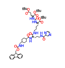 CC(C)(C)OC(=O)CC[C@H](NC(=O)N[C@@H](CCCCNC(=O)[C@H](CCCNC(=O)c1cnccn1)NC(=O)C1CCC(CNC(=O)OCC2c3ccccc3-c3ccccc32)CC1)C(=O)OC(C)(C)C)C(=O)OC(C)(C)C